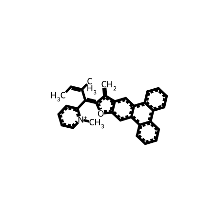 C=c1/c(=C(\C(C)=C/C)c2cccc[n+]2C)oc2cc3c4ccccc4c4ccccc4c3cc12